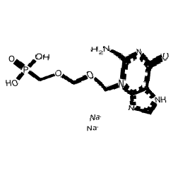 Nc1nc(=O)c2[nH]cnc2n1COCOCP(=O)(O)O.[Na].[Na]